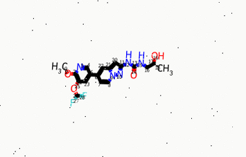 COc1ncc(-c2ccn3nc(NC(=O)NC[C@@H](C)O)cc3c2)cc1OC(F)F